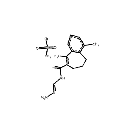 CC1=C(C(=O)NC=NN)CCCc2c(C)cccc21.CS(=O)(=O)O